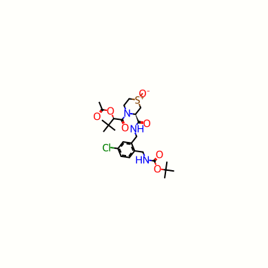 CC(=O)O[C@@H](C(=O)N1CC[S+]([O-])C[C@H]1C(=O)NCc1cc(Cl)ccc1CNC(=O)OC(C)(C)C)C(C)(C)C